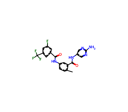 Cc1ccc(NC(=O)c2cc(F)cc(C(F)(F)F)c2)cc1C(=O)Nc1cnc(N)nc1